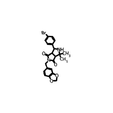 CC1(C)NC(c2ccc(Br)cc2)C2C(=O)N(Cc3ccc4c(c3)OCO4)C(=O)C21